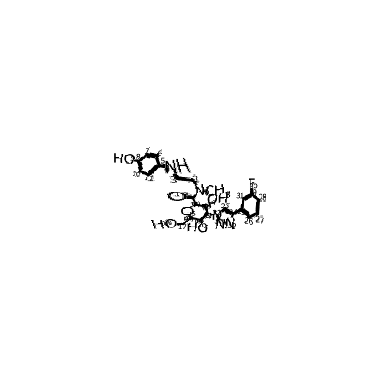 CN(CCNc1ccc(O)cc1)C(=O)[C@@H]1O[C@H](CO)[C@H](O)[C@H](n2cc(-c3cccc(F)c3)nn2)[C@H]1O